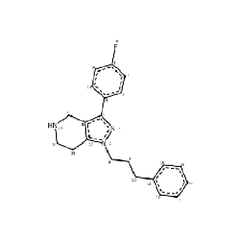 Fc1ccc(-c2nn(CCCc3ccccc3)c3c2CNCC3)cc1